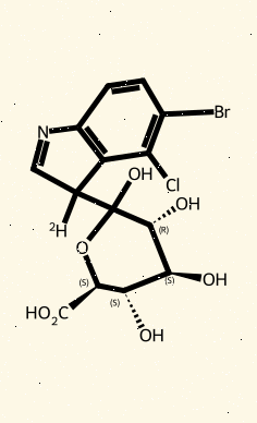 [2H]C1(C2(O)O[C@H](C(=O)O)[C@@H](O)[C@H](O)[C@H]2O)C=Nc2ccc(Br)c(Cl)c21